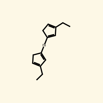 CCC1=CC[C]([Fe][C]2=CC(CC)=CC2)=C1